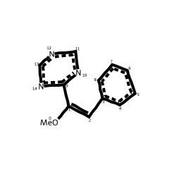 COC(=Cc1ccccc1)c1ncncn1